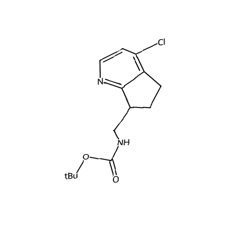 CC(C)(C)OC(=O)NCC1CCc2c(Cl)ccnc21